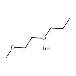 CCCOCCOC.[Tm]